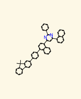 CC1(C)c2ccccc2-c2ccc(-c3ccc(-c4ccc(-c5cc(-c6cccc7ccccc67)nc(-c6ccccc6)n5)c5ccccc45)cc3)cc21